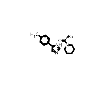 CC[C@H](C)C(=O)N1CCCC[C@@H]1c1ncc(-c2ccc(C)cc2)[nH]1